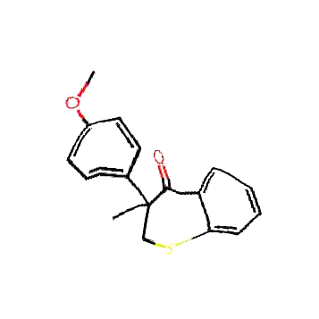 COc1ccc(C2(C)CSc3ccccc3C2=O)cc1